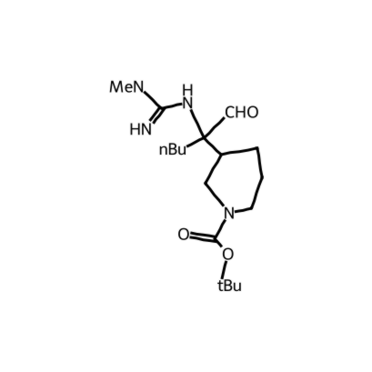 CCCCC(C=O)(NC(=N)NC)C1CCCN(C(=O)OC(C)(C)C)C1